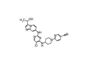 CC(O)c1cnc2cc(Nc3ncc(Cl)c(NC4CCN(c5ccc(C#N)cn5)CC4)n3)ccn12